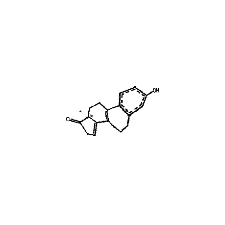 C[C@]12CCC3=C(CCc4cc(O)ccc43)C1=CCC2=O